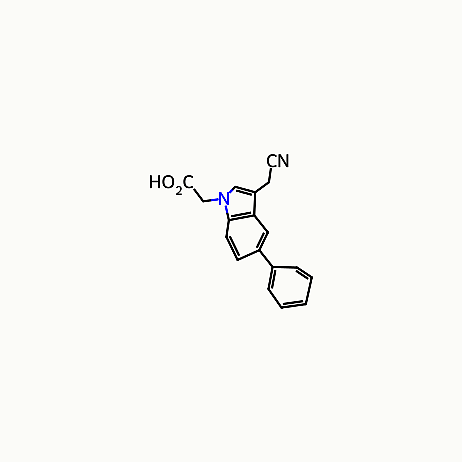 N#CCc1cn(CC(=O)O)c2ccc(-c3ccccc3)cc12